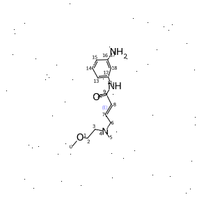 COCCN(C)C/C=C/C(=O)Nc1cccc(N)c1